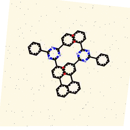 c1ccc(-c2nc(-c3ccccc3)nc(-c3ccc(-c4cccc5cccc(-c6cccc(-c7nc(-c8ccccc8)nc(-c8ccccc8)n7)c6)c45)cc3)n2)cc1